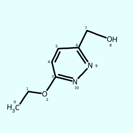 CCOc1ccc(CO)nn1